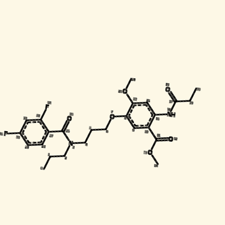 CCCN(CCCOc1cc(C(=O)OC)c(NC(=O)CC)cc1OC)C(=O)c1ccc(F)cc1F